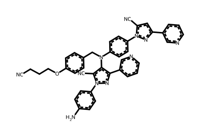 N#CCCCOc1ccc(CN(c2ccc(-n3nc(-c4cccnc4)cc3C#N)cc2)c2c(-c3cccnc3)nn(-c3ccc(N)cc3)c2C#N)cc1